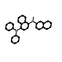 CN(c1ccc2ccccc2c1)c1ccc(N(c2ccccc2)c2ccccc2)c2ccccc12